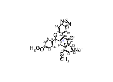 COc1ccc(C(=O)/C(Cc2ccccc2OC)=C(/C(=O)[O-])c2ccc3nsnc3c2)cc1.[Na+]